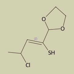 CC(Cl)/C=C(\S)C1OCCO1